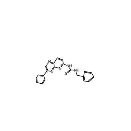 S=C(NCc1ccccc1)Nc1ccc2ncc(-c3ccccc3)nc2n1